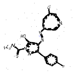 NC(=O)n1nc(-c2ccc(F)cc2)c(/N=N/c2cncc(Cl)c2)c1O